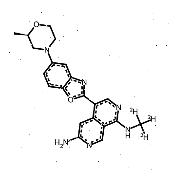 [2H]C([2H])([2H])Nc1ncc(-c2nc3cc(N4CCO[C@H](C)C4)ccc3o2)c2cc(N)ncc12